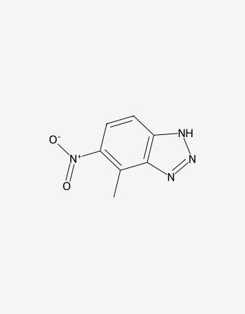 Cc1c([N+](=O)[O-])ccc2[nH]nnc12